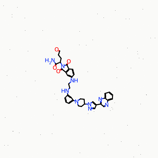 NC(=O)C(CCC=O)N1C(=O)c2ccc(NCCNc3cccc(N4CCC(n5cc(-c6cnc7ccccc7n6)cn5)CC4)c3)cc2C1=O